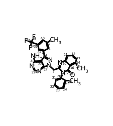 Cc1cc(-c2nn(Cc3nc4cccc(C)c4c(=O)n3-c3ccccc3C)c3ncnc(N)c23)cc(C(F)(F)F)c1